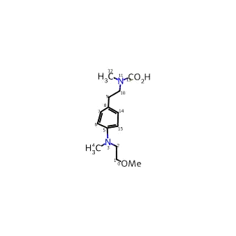 COCCN(C)c1ccc(CCN(C)C(=O)O)cc1